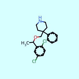 CC(OCC1(c2ccccc2)CCNCC1)c1cc(Cl)ccc1Cl